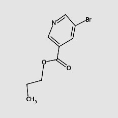 CCCOC(=O)c1cncc(Br)c1